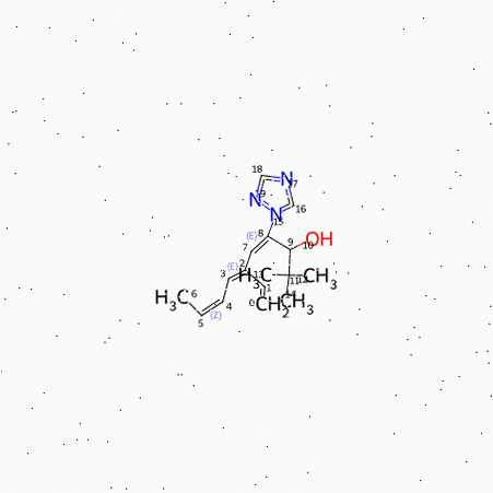 C=CC(=C\C=C/C)/C=C(\C(O)C(C)(C)C)n1cncn1